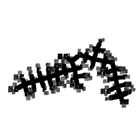 CC(OC(F)(F)C(F)(C(F)(F)F)C(C)(C)OC(C)(C)C(F)(F)C(C)(C)S(=O)(=O)O)C(F)(C(C)(C)C)C(F)(F)C(C)(C)C(C)(C)C(F)(F)C(F)(F)C(C)(C)C